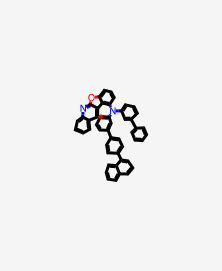 c1ccc(-c2cccc(N(c3cccc(-c4ccc(-c5cccc6ccccc56)cc4)c3)c3cccc4oc5nc6ccccc6cc5c34)c2)cc1